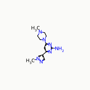 CN1CCN(c2cc(-c3cnn(C)c3)nc(N)n2)CC1